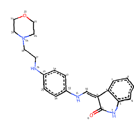 O=C1Nc2ccccc2C1=CNc1ccc(NCCN2CCOCC2)cc1